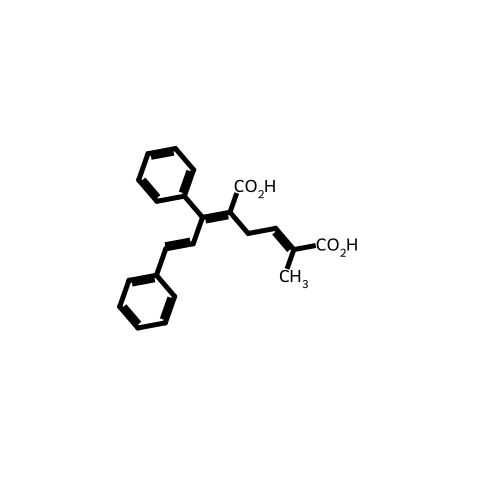 CC(=CCC(C(=O)O)=C(C=Cc1ccccc1)c1ccccc1)C(=O)O